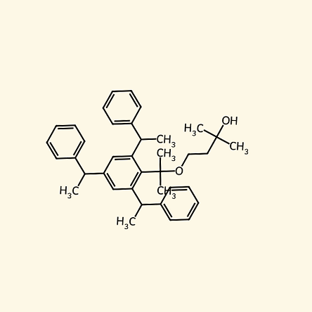 CC(c1ccccc1)c1cc(C(C)c2ccccc2)c(C(C)(C)OCCC(C)(C)O)c(C(C)c2ccccc2)c1